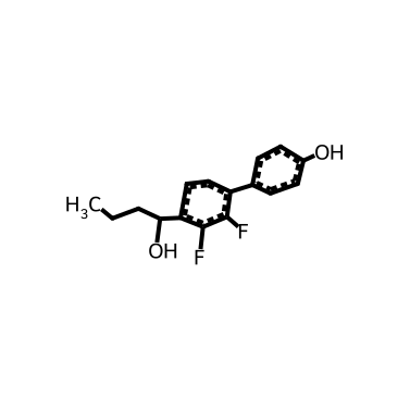 CCCC(O)c1ccc(-c2ccc(O)cc2)c(F)c1F